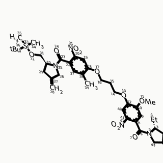 C=C1C[C@@H](CC)N(C(=O)c2cc(OC)c(OCCCOc3cc([N+](=O)[O-])c(C(=O)N4CC(=C)C[C@H]4CO[Si](C)(C)C(C)(C)C)cc3C)cc2[N+](=O)[O-])C1